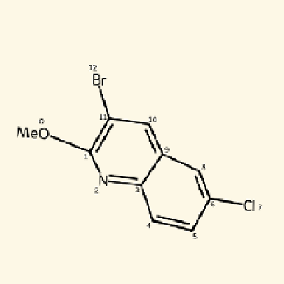 COc1nc2ccc(Cl)cc2cc1Br